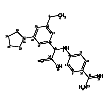 CCc1cc(C(Nc2ccc(C(=N)N)cc2)C(=O)O)cc(N2CCCC2)c1